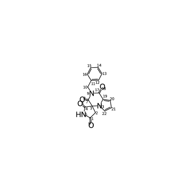 O=C1CC2(C(=O)N1)C(=O)N(Cc1ccccc1)C(=O)c1cccn12